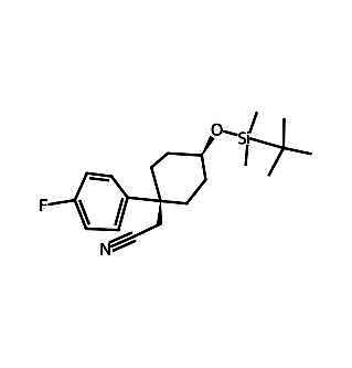 CC(C)(C)[Si](C)(C)O[C@H]1CC[C@](CC#N)(c2ccc(F)cc2)CC1